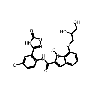 Cn1c(C(=O)Nc2ccc(Cl)cc2-c2noc(=O)[nH]2)cc2cccc(OC[C@@H](O)CO)c21